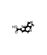 O=C(O)C1C=c2cnc3c(c2S1)C=NN=3